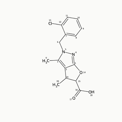 Cc1c2c(nn1Cc1ccccc1Cl)OC(C(=O)O)C2C